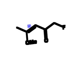 CO/C(C)=C\C(=O)CF